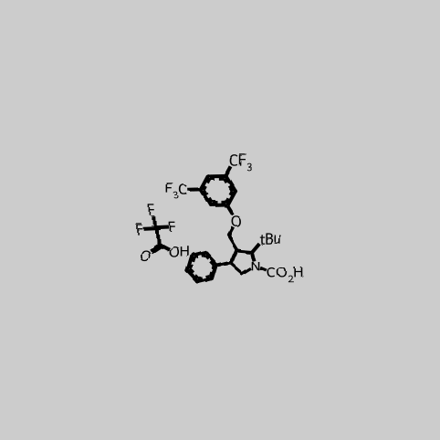 CC(C)(C)C1C(COc2cc(C(F)(F)F)cc(C(F)(F)F)c2)C(c2ccccc2)CN1C(=O)O.O=C(O)C(F)(F)F